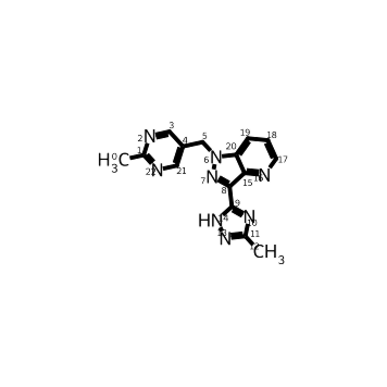 Cc1ncc(Cn2nc(-c3nc(C)n[nH]3)c3ncccc32)cn1